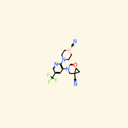 N#CB1CCN(c2ncc(C(F)(F)F)cc2N(C=O)CC2(C#N)CC2)CC1